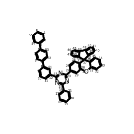 c1ccc(-c2ccc(-c3cccc(-c4nc(-c5ccccc5)nc(-c5ccc6c(c5)Oc5ccccc5C65c6ccccc6-c6ccccc65)n4)c3)cc2)cc1